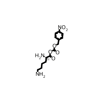 NCCCC[C@H](N)C(=O)OC(=O)OCc1ccc([N+](=O)[O-])cc1